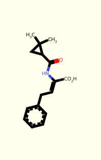 CC1(C)CC1C(=O)N/C(=C\Cc1ccccc1)C(=O)O